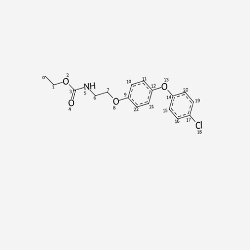 CCOC(=O)NCCOc1ccc(Oc2ccc(Cl)cc2)cc1